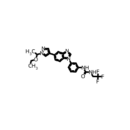 CCOC(C)n1cc(-c2ccc3c(c2)ncn3-c2cccc(NC(=O)NCC(F)(F)F)c2)cn1